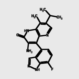 Cc1c(C(C)C)cnc2c(-c3ccc(F)c4[nH]ncc34)c(N)c(=O)[nH]c12